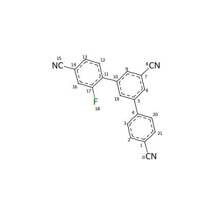 N#Cc1ccc(-c2cc(C#N)cc(-c3ccc(C#N)cc3F)c2)cc1